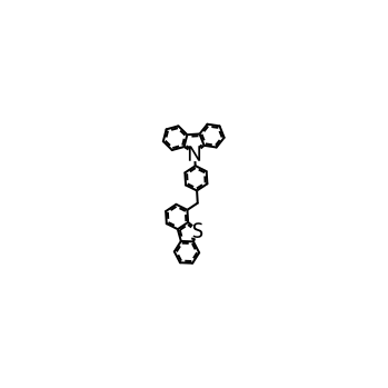 c1ccc2c(c1)sc1c(Cc3ccc(-n4c5ccccc5c5ccccc54)cc3)cccc12